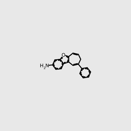 Nc1ccc2c3c(oc2c1)C=CCC(c1ccccc1)=C3